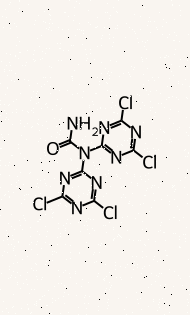 NC(=O)N(c1nc(Cl)nc(Cl)n1)c1nc(Cl)nc(Cl)n1